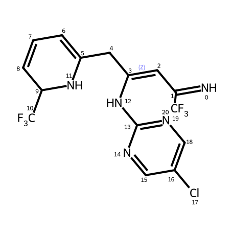 N=C(/C=C(/CC1=CC=CC(C(F)(F)F)N1)Nc1ncc(Cl)cn1)C(F)(F)F